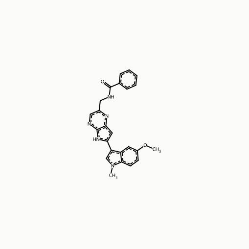 COc1ccc2c(c1)c(-c1cc3nc(CNC(=O)c4ccccc4)cnc3[nH]1)cn2C